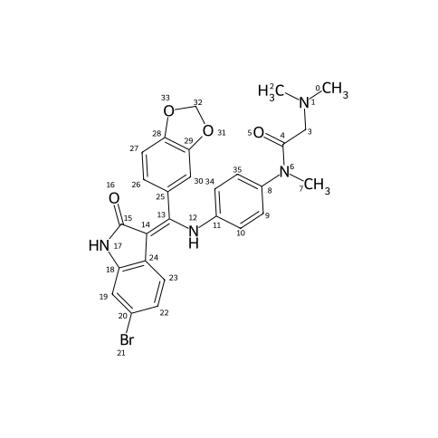 CN(C)CC(=O)N(C)c1ccc(NC(=C2C(=O)Nc3cc(Br)ccc32)c2ccc3c(c2)OCO3)cc1